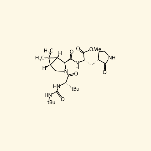 COC(=O)[C@H](C[C@@H]1CCNC1=O)NC(=O)[C@@H]1[C@@H]2[C@H](CN1C(=O)[C@@H](NC(=O)NC(C)(C)C)C(C)(C)C)C2(C)C